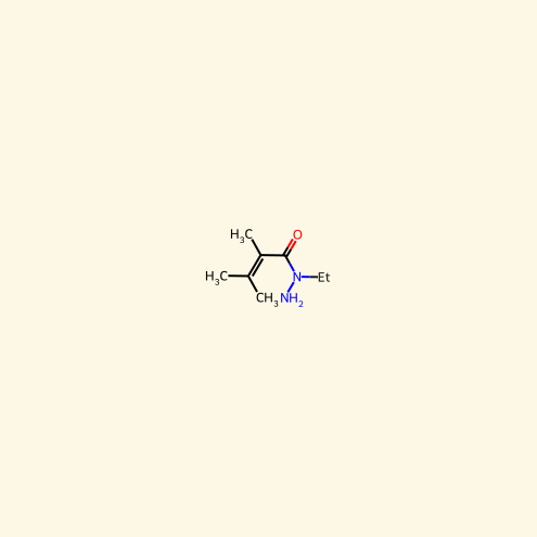 CCN(N)C(=O)C(C)=C(C)C